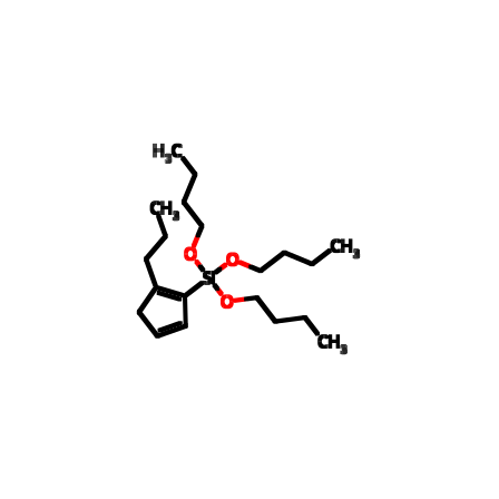 CCCCO[Si](OCCCC)(OCCCC)C1=C(CCC)CC=C1